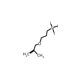 C=C(C)COCCC[Si](I)(I)I